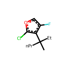 CCCC(C)(CC)c1c(F)coc1Cl